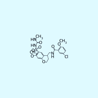 CNC(=O)NS(=O)(=O)c1cc2c(cc1OC)OCCC2CNC(=O)c1cc(Cl)ccc1OC